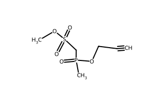 C#CCOP(C)(=O)CS(=O)(=O)OC